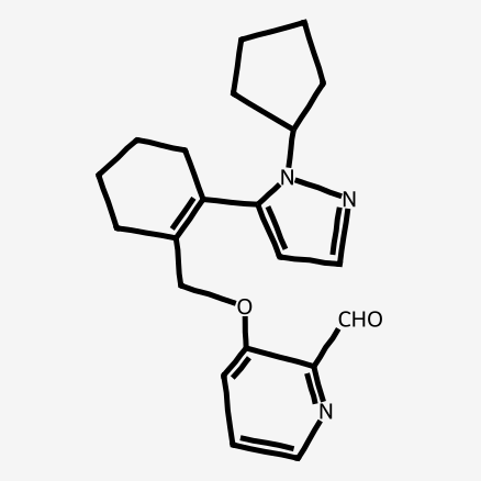 O=Cc1ncccc1OCC1=C(c2ccnn2C2CCCC2)CCCC1